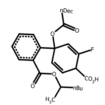 CCCCCCCCCCC(=O)OC1(c2ccccc2C(=O)OC(C)CCCC)C=CC(C(=O)O)C(F)=C1